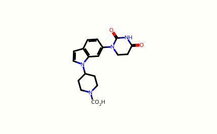 O=C1CCN(c2ccc3ccn(C4CCN(C(=O)O)CC4)c3c2)C(=O)N1